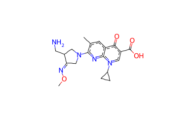 CO/N=C1\CN(c2nc3c(cc2C)c(=O)c(C(=O)O)cn3C2CC2)CC1CN